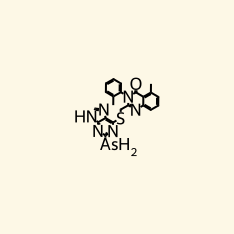 Cc1ccccc1-n1c(CSc2nc([AsH2])nc3[nH]cnc23)nc2cccc(C)c2c1=O